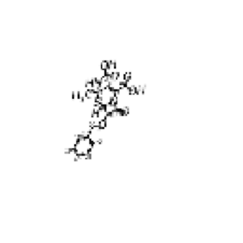 CC1(NC(=O)O)C=C(C(=O)O)N2C(=O)C(OCc3ccccc3)[C@H]2S1